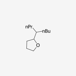 CCCCC(CCC)C1CCCO1